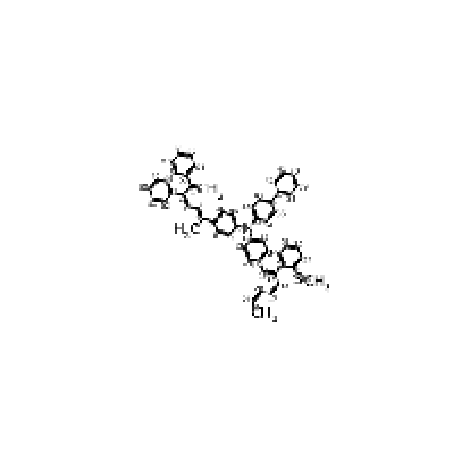 C=C(/C(=C\C=C(/C)c1ccc(N(c2ccc(/C=C(/C=C\C=C/C)c3ccccc3SC)cc2)c2ccc(-c3ccccc3)cc2)cc1)c1ccccc1)c1ccccc1